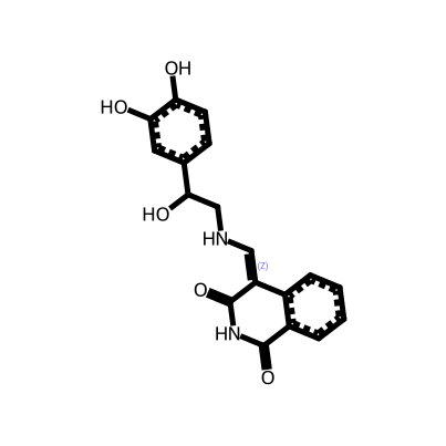 O=C1NC(=O)c2ccccc2/C1=C/NCC(O)c1ccc(O)c(O)c1